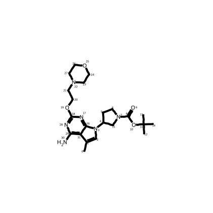 Cc1cn(C2CCN(C(=O)OC(C)(C)C)C2)c2nc(OCCN3CCOCC3)nc(N)c12